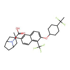 CC(c1ccc2c(C(F)(F)F)c(OC3CCC(C(C)(F)F)CC3)ccc2c1)N1C2CCC1CC(C(=O)O)C2